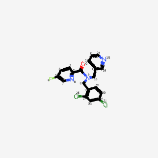 O=C(c1ccc(F)cn1)N(Cc1cccnc1)Cc1ccc(Cl)cc1Cl